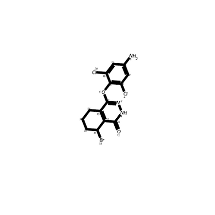 Nc1cc(Cl)c(Oc2n[nH]c(=O)c3c2CCCC3Br)c(Cl)c1